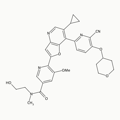 COc1cc(C(=O)N(C)CCO)cnc1-c1cc2ncc(C3CC3)c(-c3ccc(OC4CCOCC4)c(C#N)n3)c2o1